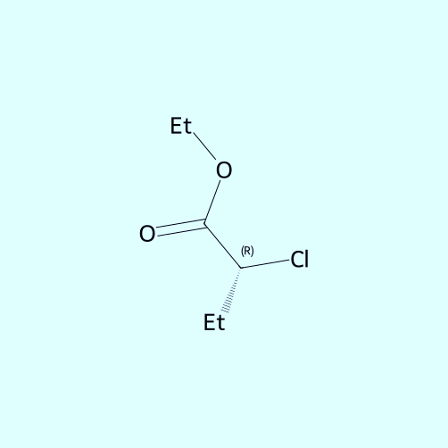 CCOC(=O)[C@H](Cl)CC